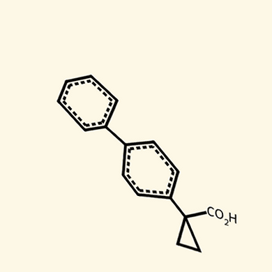 O=C(O)C1(c2ccc(-c3ccccc3)cc2)CC1